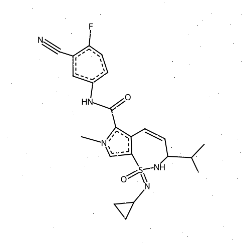 CC(C)C1C=Cc2c(cn(C)c2C(=O)Nc2ccc(F)c(C#N)c2)S(=O)(=NC2CC2)N1